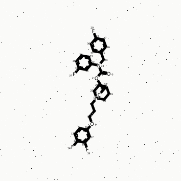 O=C(OC1C[N+]2(CCCOc3ccc(F)c(F)c3)CCC1CC2)N(Cc1ccc(F)cc1)c1cccc(F)c1